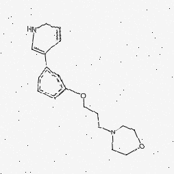 C1=CC(c2cccc(OCCCN3CCOCC3)c2)=CNC1